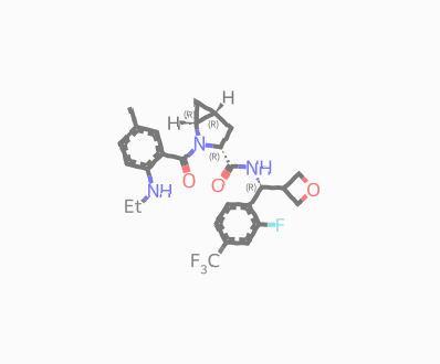 CCNc1ccc(C)cc1C(=O)N1[C@@H](C(=O)N[C@@H](c2ccc(C(F)(F)F)cc2F)C2COC2)C[C@H]2C[C@H]21